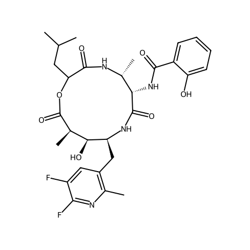 Cc1nc(F)c(F)cc1C[C@@H]1NC(=O)[C@@H](NC(=O)c2ccccc2O)[C@@H](C)NC(=O)C(CC(C)C)OC(=O)[C@H](C)[C@@H]1O